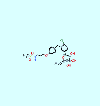 CO[C@H]1O[C@@H](c2ccc(Cl)c(Cc3ccc(OCCCNS(C)(=O)=O)cc3)c2)[C@H](O)[C@@H](O)[C@@H]1O